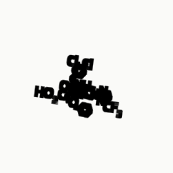 O=C(NC(COCc1ccccc1)C(=O)O)C(=Cc1ccc(Cl)c(Cl)c1)NC(=O)C1CCN(c2nccc(C(F)(F)F)n2)CC1